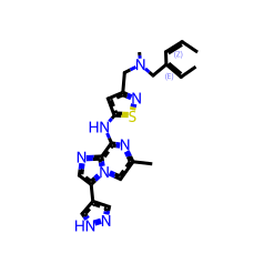 C/C=C\C(=C/C)CN(C)Cc1cc(Nc2nc(C)cn3c(-c4cn[nH]c4)cnc23)sn1